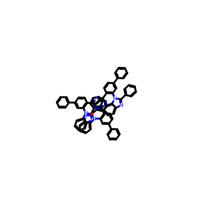 c1ccc(-c2ccc(-c3nc(-c4ccc(-c5ccccc5)cc4-n4c(-c5ccccc5)nc5ccccc54)nc(-c4ccc(-c5ccccc5)cc4-n4c(-c5ccccc5)nc5ccccc54)n3)c(-n3c(-c4ccccc4)nc4ccccc43)c2)cc1